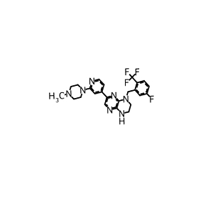 CN1CCN(c2cc(-c3cnc4c(n3)N(Cc3cc(F)ccc3C(F)(F)F)CCN4)ccn2)CC1